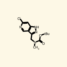 CN(Cc1n[nH]c2cc(Cl)ncc12)C(=O)OC(C)(C)C